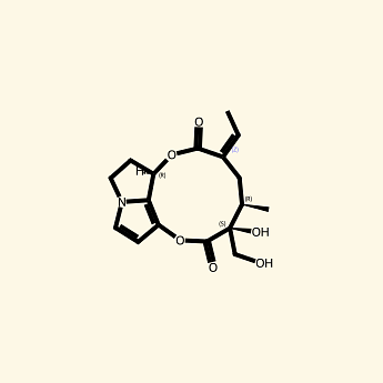 C/C=C1/C[C@@H](C)[C@](O)(CO)C(=O)Oc2ccn3c2[C@@H](CC3)OC1=O